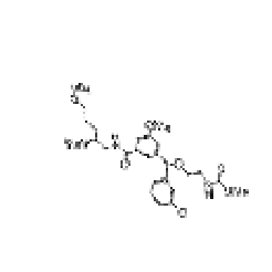 CCCCOCCC[C@@H](CNC(=O)c1cc(OC)cc(C(OCCNC(=O)OC)c2cccc(Cl)c2)c1)NC